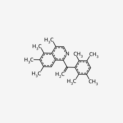 C=C(c1c(C)c(C)cc(C)c1C)c1ncc(C)c2c(C)c(C)c(C)cc12